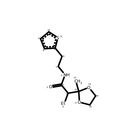 CCC(C(=O)NCCc1cccs1)C1(C)OCCO1